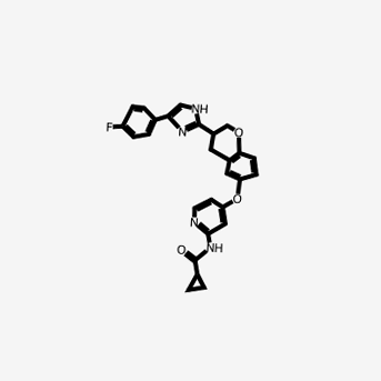 O=C(Nc1cc(Oc2ccc3c(c2)CC(c2nc(-c4ccc(F)cc4)c[nH]2)CO3)ccn1)C1CC1